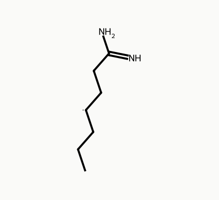 CCC[CH]CCC(=N)N